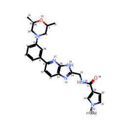 CC1CN(c2cccc(-c3ccc4nc(CNC(=O)c5ccn(C(C)(C)C)c5)[nH]c4n3)c2)C[C@@H](C)O1